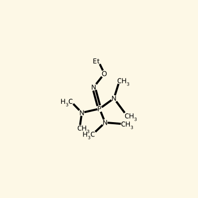 CCON=P(N(C)C)(N(C)C)N(C)C